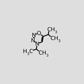 CC(C)C1=CN(C(C)C)N=NO1